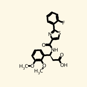 COc1cccc([C@H](CC(=O)O)NC(=O)c2csc(-c3ccccc3F)n2)c1OC